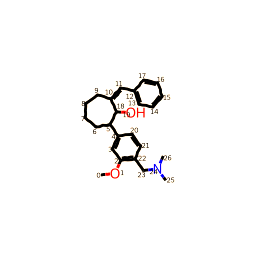 COc1cc(C2CCCCC(=Cc3ccccc3)C2O)ccc1CN(C)C